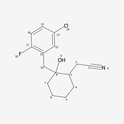 N#CCC1CCCCC1(O)Cc1cc(Cl)ccc1F